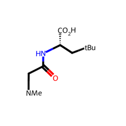 CNCC(=O)N[C@@H](CC(C)(C)C)C(=O)O